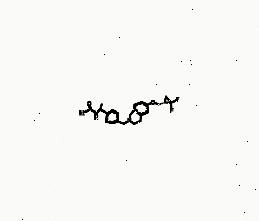 CCC(=O)NC(C)c1ccc(CN2CCc3cc(OC[C@@H]4CC4(F)F)ccc3C2)cc1